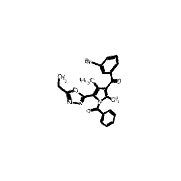 CCc1nnc(-c2c(C)c(C(=O)c3cccc(Br)c3)c(C)n2C(=O)c2ccccc2)o1